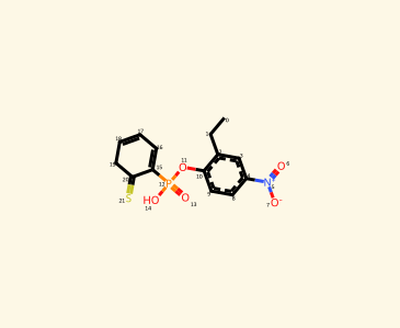 CCc1cc([N+](=O)[O-])ccc1OP(=O)(O)C1=CC=CCC1=S